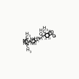 Cc1c([C@@H](O)CNCc2cnc(-n3c(C)nnc3C)nc2)ccc2c1COC2=O